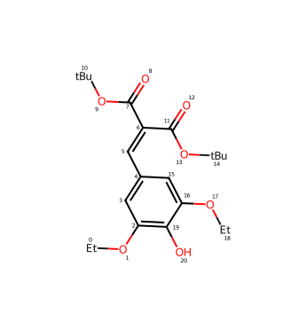 CCOc1cc(C=C(C(=O)OC(C)(C)C)C(=O)OC(C)(C)C)cc(OCC)c1O